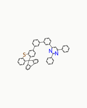 c1ccc(-c2cc(-c3cccc(-c4cccc(-c5ccc6c(c5)Sc5ccccc5C65c6ccccc6-c6ccccc65)c4)c3)nc(-c3ccccc3)n2)cc1